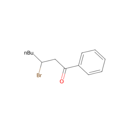 CCCCC(Br)CC(=O)c1ccccc1